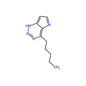 CCCCCc1nn[nH]c2ccnc1-2